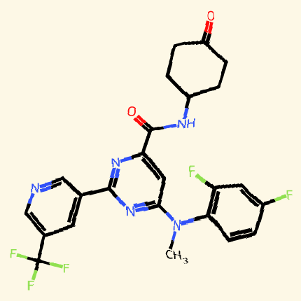 CN(c1cc(C(=O)NC2CCC(=O)CC2)nc(-c2cncc(C(F)(F)F)c2)n1)c1ccc(F)cc1F